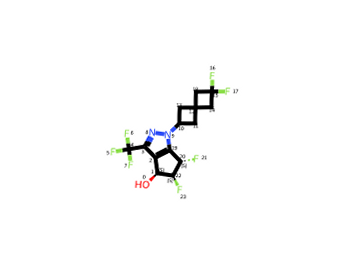 O[C@H]1c2c(C(F)(F)F)nn(C3CC4(C3)CC(F)(F)C4)c2[C@H](F)[C@H]1F